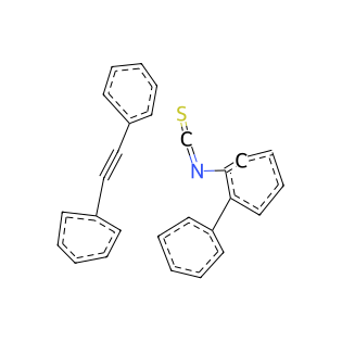 C(#Cc1ccccc1)c1ccccc1.S=C=Nc1ccccc1-c1ccccc1